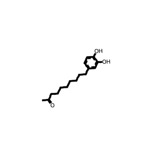 CC(=O)CCCCCCCCc1ccc(O)c(O)c1